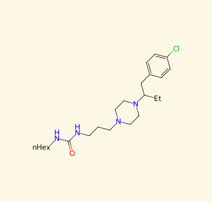 CCCCCCNC(=O)NCCCN1CCN(C(CC)Cc2ccc(Cl)cc2)CC1